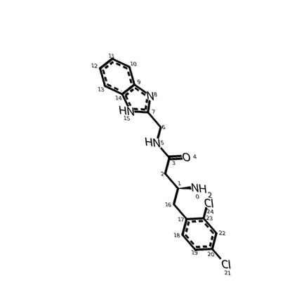 N[C@H](CC(=O)NCc1nc2ccccc2[nH]1)Cc1ccc(Cl)cc1Cl